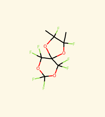 CC1(F)OC2(OC1(C)F)C(F)(F)OC(F)(F)OC2(F)F